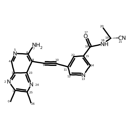 Cc1nc2cnc(N)c(C#Cc3cncc(C(=O)N[C@H](C)C#N)c3)c2nc1C